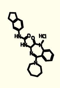 CN1C(=O)C(NC(=O)Nc2ccc3c(c2)CCC3)N=C(N2CCCCCC2)c2ccccc21.Cl